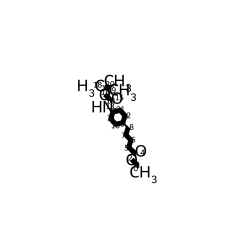 CCOC(=O)CCCC[C@H]1CC[C@H](NC(=O)OC(C)(C)C)CC1